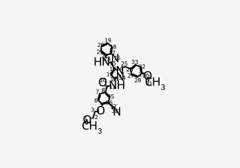 COCCOc1ccc(C(=O)Nc2cc(-c3nc4ccccc4[nH]3)n(Cc3ccc(OC)cc3)n2)cc1C#N